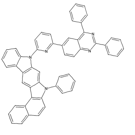 c1ccc(-c2nc(-c3ccccc3)c3cc(-c4cccc(-n5c6ccccc6c6cc7c8c9ccccc9ccc8n(-c8ccccc8)c7cc65)n4)ccc3n2)cc1